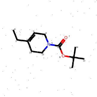 [CH2]CC1=CCN(C(=O)OC(C)(C)C)CC1